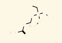 CC[Si](OC)(OC)OCOC(C)=O